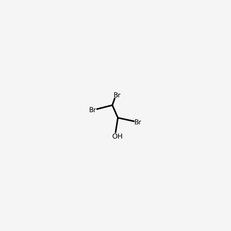 OC(Br)C(Br)Br